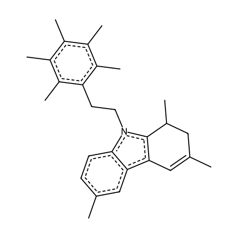 CC1=Cc2c(n(CCc3c(C)c(C)c(C)c(C)c3C)c3ccc(C)cc23)C(C)C1